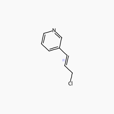 ClC/C=C/c1cccnc1